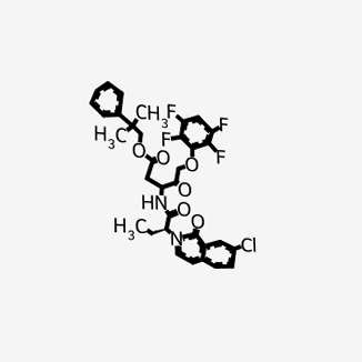 CC[C@@H](C(=O)NC(CC(=O)OCC(C)(C)c1ccccc1)C(=O)COc1c(F)c(F)cc(F)c1F)n1ccc2ccc(Cl)cc2c1=O